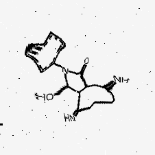 N=C1CCC(=N)C2C1C(=O)N(c1ccccc1)C2O